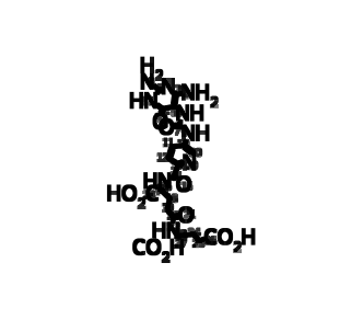 Nc1nc(N)c(NC(=O)Nc2ccc(C(=O)N[C@@H](CCC(=O)N[C@@H](CCC(=O)O)C(=O)O)C(=O)O)nc2)c(=O)[nH]1